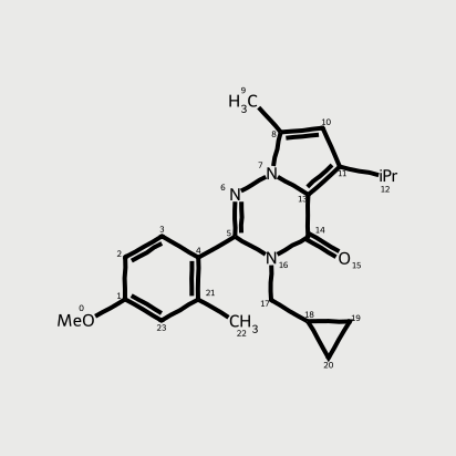 COc1ccc(-c2nn3c(C)cc(C(C)C)c3c(=O)n2CC2CC2)c(C)c1